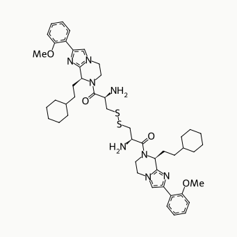 COc1ccccc1-c1cn2c(n1)[C@H](CCC1CCCCC1)N(C(=O)[C@@H](N)CSSC[C@H](N)C(=O)N1CCn3cc(-c4ccccc4OC)nc3[C@@H]1CCC1CCCCC1)CC2